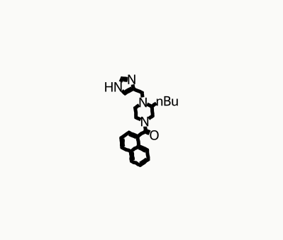 CCCCC1CN(C(=O)c2cccc3ccccc23)CCN1Cc1c[nH]cn1